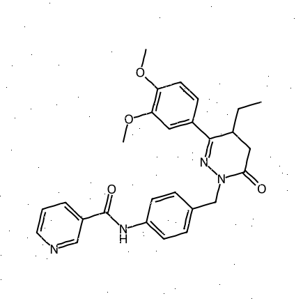 CCC1CC(=O)N(Cc2ccc(NC(=O)c3cccnc3)cc2)N=C1c1ccc(OC)c(OC)c1